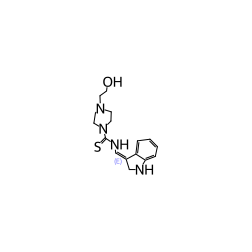 OCCN1CCN(C(=S)N/C=C2/CNc3ccccc32)CC1